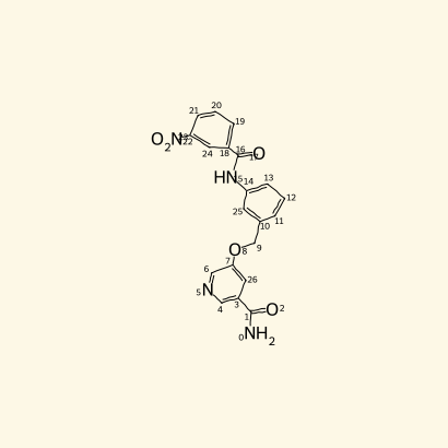 NC(=O)c1cncc(OCc2cccc(NC(=O)c3cccc([N+](=O)[O-])c3)c2)c1